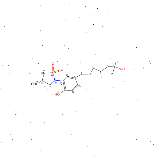 CC(C)(O)CCCCCc1ccc(O)c(N2CC(C=O)NS2(=O)=O)c1